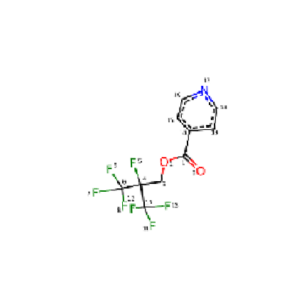 O=C(OCC(F)(C(F)(F)F)C(F)(F)F)c1ccncc1